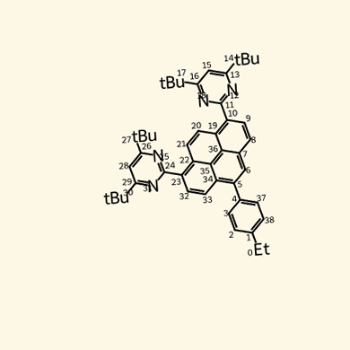 CCc1ccc(-c2cc3ccc(-c4nc(C(C)(C)C)cc(C(C)(C)C)n4)c4ccc5c(-c6nc(C(C)(C)C)cc(C(C)(C)C)n6)ccc2c5c34)cc1